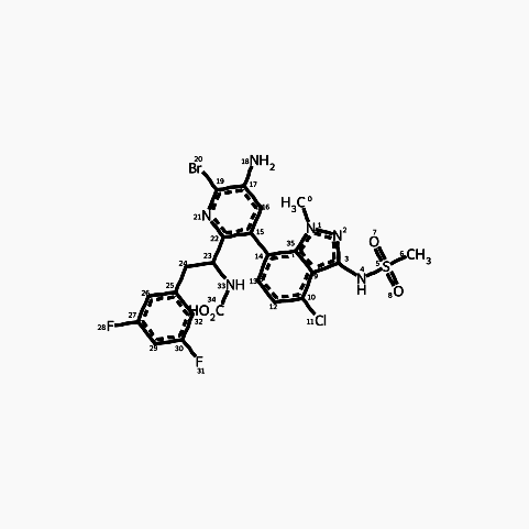 Cn1nc(NS(C)(=O)=O)c2c(Cl)ccc(-c3cc(N)c(Br)nc3C(Cc3cc(F)cc(F)c3)NC(=O)O)c21